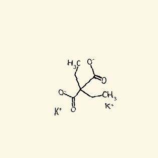 CCC(CC)(C(=O)[O-])C(=O)[O-].[K+].[K+]